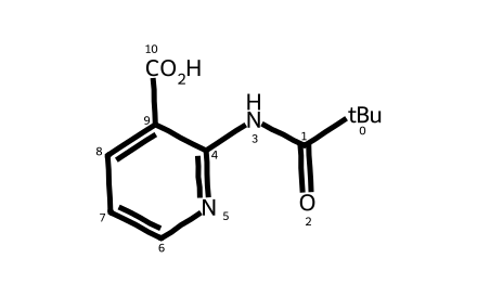 CC(C)(C)C(=O)Nc1ncccc1C(=O)O